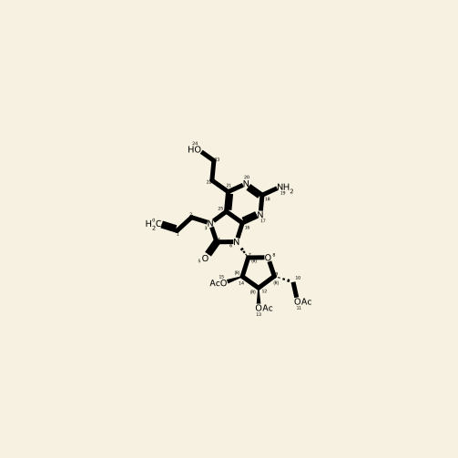 C=CCn1c(=O)n([C@@H]2O[C@H](COC(C)=O)[C@@H](OC(C)=O)[C@H]2OC(C)=O)c2nc(N)nc(CCO)c21